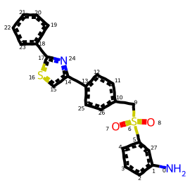 Nc1cccc(S(=O)(=O)Cc2ccc(-c3csc(-c4ccccc4)n3)cc2)c1